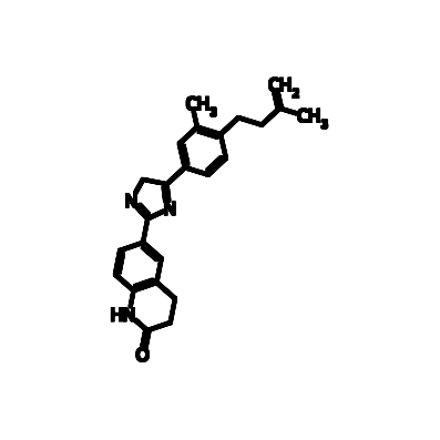 C=C(C)CCc1ccc(C2=NC(c3ccc4c(c3)CCC(=O)N4)=NC2)cc1C